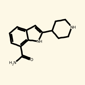 NC(=O)c1cccc2cc(C3CCNCC3)[nH]c12